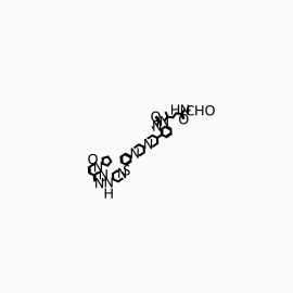 CC(CCC(=O)NC=O)n1c(=O)n(C)c2c(C3CCN(C4CCN(c5cccc(SN6CCC(Nc7ncc8ccc(=O)n(C9CCCC9)c8n7)CC6)c5)CC4)CC3)cccc21